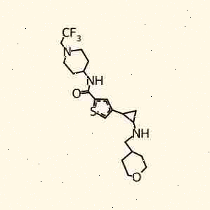 O=C(NC1CCN(CC(F)(F)F)CC1)c1cc(C2CC2NCC2CCOCC2)cs1